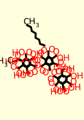 CCCCCCCCCOC(=O)c1c(C(=O)O)c(C(=O)O)c(C(=O)OC(=O)c2c(C(=O)O)c(C(=O)O)c(C(=O)O)c(C(=O)O)c2C(=O)O)c(C(=O)OC(=O)c2c(C(=O)O)c(C(=O)O)c(C(=O)O)c(C(=O)O)c2C(=O)O)c1C(=O)OCCCCCCC